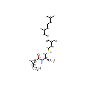 CC(C)=CCCC(C)=CCCC(C)=CCSC[C@H](NC(=O)[C@@H]1C[C@@H]1C(=O)O)C(=O)O